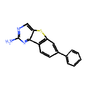 Nc1ncc2sc3cc(-c4ccccc4)ccc3c2n1